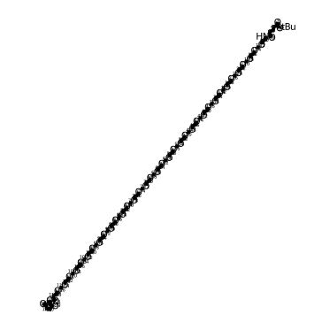 CC(C)(C)OC(=O)CCCC(=O)NCCOCCOCCOCCOCCOCCOCCOCCOCCOCCOCCOCCOCCOCCOCCOCCOCCOCCOCCOCCOCCOCCOCCOCCOCCOCCOCCOCCOCCOCCOCCOCCOCCOCCOCCOCCOCCC(=O)ON1C(=O)CCC1=O